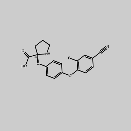 N#Cc1ccc(Oc2ccc(O[C@@]3(C(=O)O)CCCN3)cc2)c(F)c1